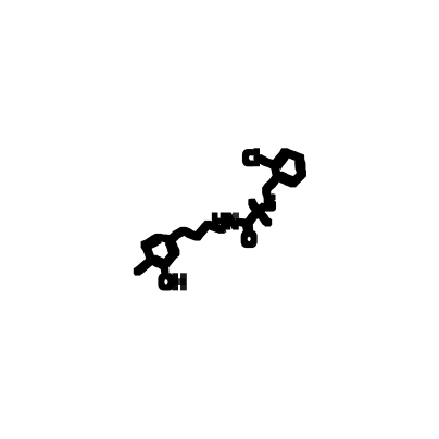 Cc1ccc(CCCCNC(=O)C(C)(C)SCc2ccccc2Cl)cc1O